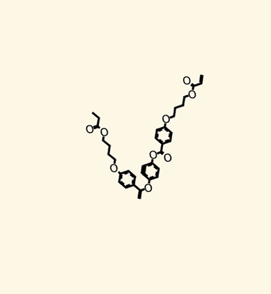 C=CC(=O)OCCCCOc1ccc(C(=O)Oc2c#cc(OC(=C)c3ccc(OCCCCOC(=O)CC)cc3)cc2)cc1